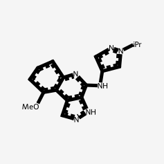 COc1cccc2nc(Nc3cnn(C(C)C)c3)c3[nH]ncc3c12